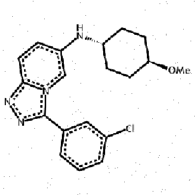 CO[C@H]1CC[C@H](Nc2ccc3nnc(-c4cccc(Cl)c4)n3c2)CC1